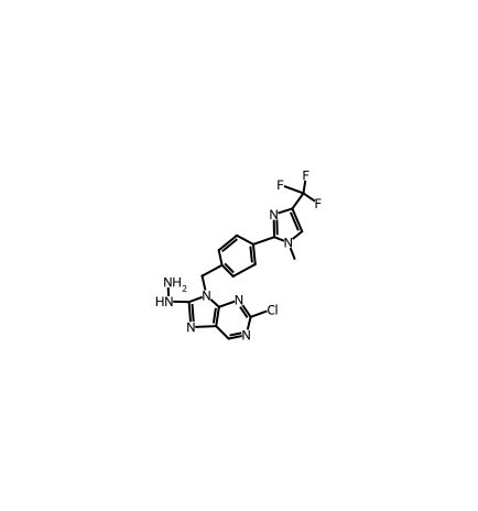 Cn1cc(C(F)(F)F)nc1-c1ccc(Cn2c(NN)nc3cnc(Cl)nc32)cc1